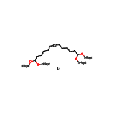 CCCCCCCOC(CCCC[CH2][Cu][CH2]CCCCC(OCCCCCCC)OCCCCCCC)OCCCCCCC.[Li]